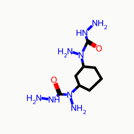 NNC(=O)N(N)C1CCCC(N(N)C(=O)NN)C1